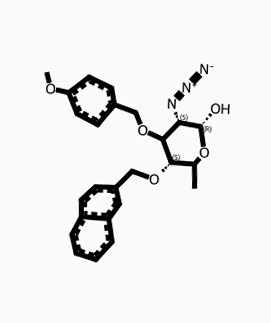 COc1ccc(COC2[C@@H](OCc3ccc4ccccc4c3)C(C)O[C@@H](O)[C@H]2N=[N+]=[N-])cc1